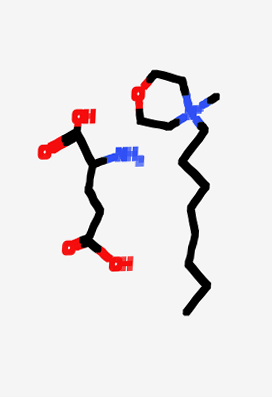 CCCCCCCC[N+]1(C)CCOCC1.NC(CCC(=O)O)C(=O)O